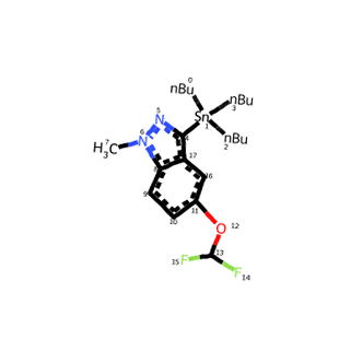 CCC[CH2][Sn]([CH2]CCC)([CH2]CCC)[c]1nn(C)c2ccc(OC(F)F)cc12